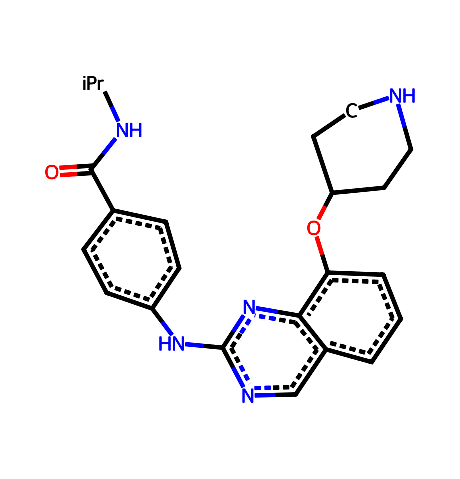 CC(C)NC(=O)c1ccc(Nc2ncc3cccc(OC4CCNCC4)c3n2)cc1